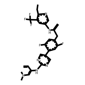 C=C/C(=C\N(C)C)Nc1ncc(-c2cc(F)c(CC(=C)Nc3cnc(CC)c(C(F)(F)F)c3)cc2F)cn1